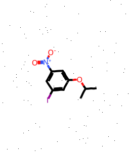 CC(C)Oc1cc(I)cc([N+](=O)[O-])c1